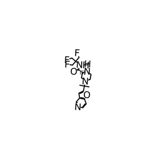 CC(C)(c1cc2cnccc2o1)N1CCN[C@H](C(=O)NC(CF)(CF)CF)C1